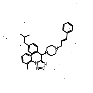 Cc1cccc(C)c1-n1nnnc1C(c1ccc(CC(C)C)cc1)N1CCN(CC=Cc2ccccc2)CC1